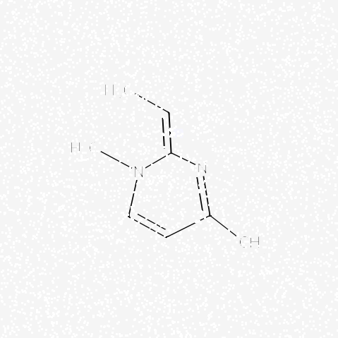 C/C=C1/N=C(C)C=CN1C